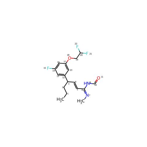 CCCC(C=C/C(=N\C)NC=O)c1cc(F)cc(OCC(F)F)c1